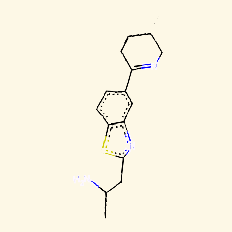 CC(N)Cc1nc2cc(C3=NC[C@@H](C)CC3)ccc2s1